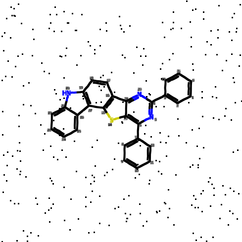 c1ccc(-c2nc(-c3ccccc3)c3sc4c(ccc5[nH]c6ccccc6c54)c3n2)cc1